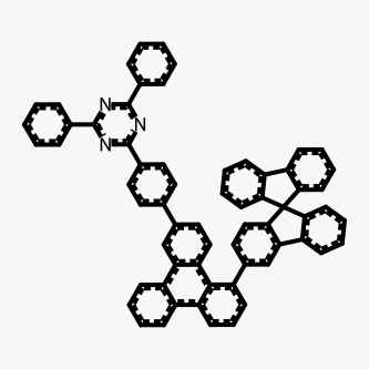 c1ccc(-c2nc(-c3ccccc3)nc(-c3ccc(-c4ccc5c(c4)c4ccccc4c4cccc(-c6ccc7c(c6)-c6ccccc6C76c7ccccc7-c7ccccc76)c45)cc3)n2)cc1